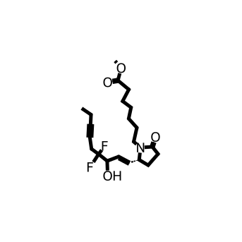 CCC#CCC(F)(F)C(O)/C=C/[C@H]1CCC(=O)N1CCCCCCC(=O)OC